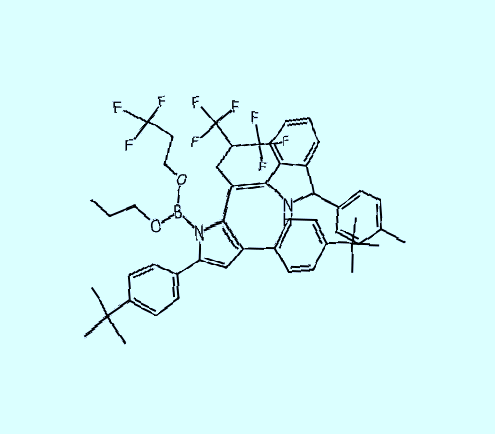 CCCOB(OCCC(F)(F)F)n1c(-c2ccc(C(C)(C)C)cc2)cc(-c2ccc(C(C)(C)C)cc2)c1/C(CC(C(F)(F)F)C(F)(F)F)=C1\NC(c2ccc(C)cc2)c2ccccc21